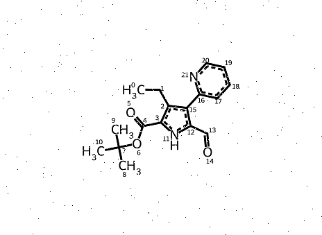 CCc1c(C(=O)OC(C)(C)C)[nH]c(C=O)c1-c1ccccn1